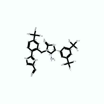 C[C@H]1[C@@H](c2cc(C(F)(F)F)cc(C(F)(F)F)c2)OC(=O)N1Cc1cc(C(F)(F)F)ccc1-c1nc(C=O)cs1